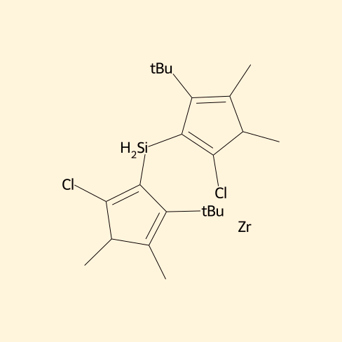 CC1=C(C(C)(C)C)C([SiH2]C2=C(Cl)C(C)C(C)=C2C(C)(C)C)=C(Cl)C1C.[Zr]